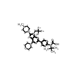 CN1CCN(c2nc3c(N4CCOCC4)nc(-c4cnc(N(C(=O)O)C(C)(C)C)nc4)nc3n2CC(F)(F)F)CC1